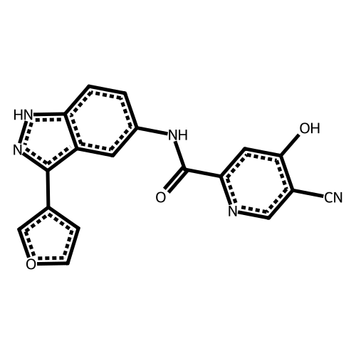 N#Cc1cnc(C(=O)Nc2ccc3[nH]nc(-c4ccoc4)c3c2)cc1O